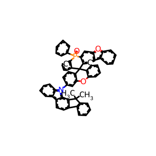 CC1(C)c2ccccc2-c2ccc3c4ccccc4n(-c4ccc5c(c4)Oc4ccccc4C54c5ccccc5P(=O)(c5ccccc5)c5cc6oc7ccccc7c6cc54)c3c21